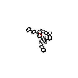 c1ccc(-c2ccc(-c3ccc(-c4nc(-c5ccc6ccccc6c5)nc(-c5cccc6oc7cc8ccc9ccccc9c8cc7c56)n4)cc3)cc2)cc1